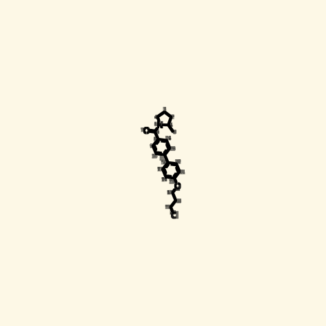 CC1CCCN1C(=O)c1ccc(-c2ccc(OCCCCl)cc2)cc1